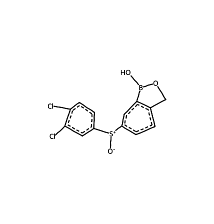 [O-][S+](c1ccc(Cl)c(Cl)c1)c1ccc2c(c1)B(O)OC2